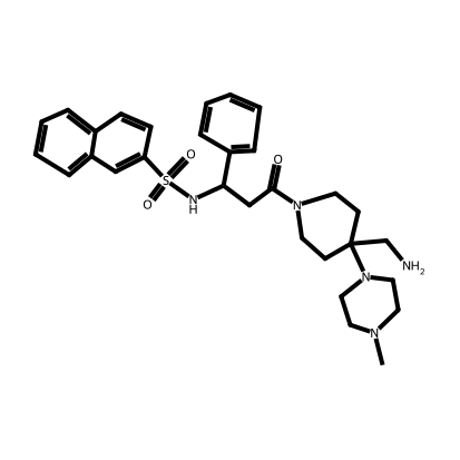 CN1CCN(C2(CN)CCN(C(=O)CC(NS(=O)(=O)c3ccc4ccccc4c3)c3ccccc3)CC2)CC1